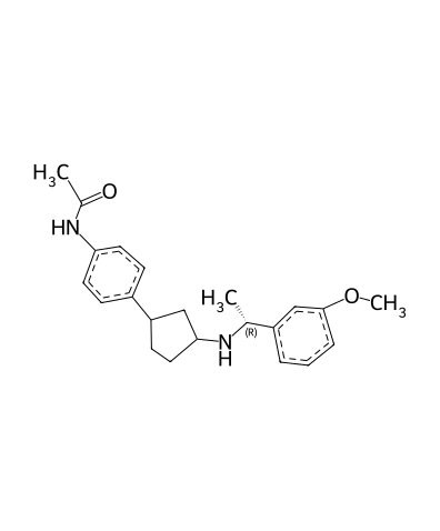 COc1cccc([C@@H](C)NC2CCC(c3ccc(NC(C)=O)cc3)C2)c1